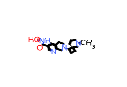 CN1CCC[C@]2(CC[C@H]2N2CCc3cc(C(=O)NO)cnc3C2)C1